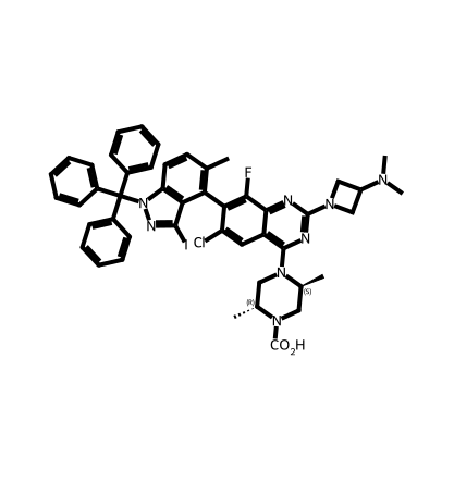 Cc1ccc2c(c(I)nn2C(c2ccccc2)(c2ccccc2)c2ccccc2)c1-c1c(Cl)cc2c(N3C[C@@H](C)N(C(=O)O)C[C@@H]3C)nc(N3CC(N(C)C)C3)nc2c1F